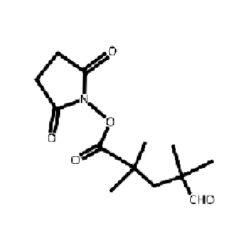 CC(C)(C=O)CC(C)(C)C(=O)ON1C(=O)CCC1=O